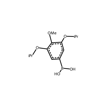 COc1c(OC(C)C)cc(B(O)O)cc1OC(C)C